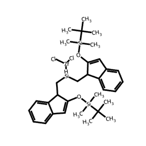 CC(C)(C)[Si](C)(C)OC1=Cc2ccccc2C1C[SiH](CC1C(O[Si](C)(C)C(C)(C)C)=Cc2ccccc21)[Zr]([Cl])[Cl]